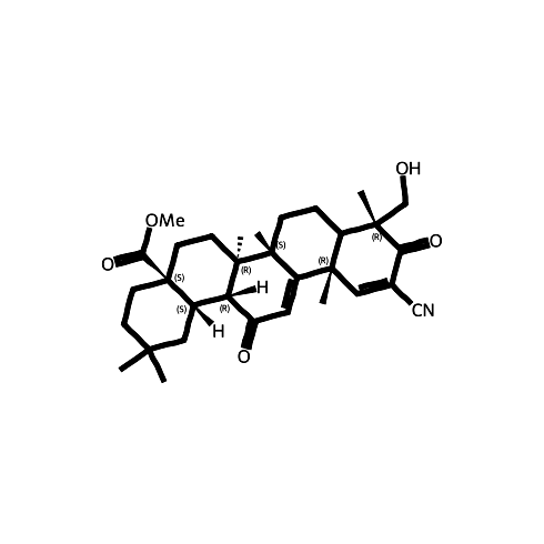 COC(=O)[C@]12CCC(C)(C)C[C@H]1[C@H]1C(=O)C=C3[C@@]4(C)C=C(C#N)C(=O)[C@@](C)(CO)C4CC[C@@]3(C)[C@]1(C)CC2